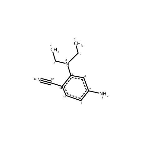 CCN(CC)c1cc(N)ccc1C#N